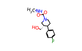 CNOC(=O)N1CCC(c2ccc(F)cc2)[C@H](CO)C1